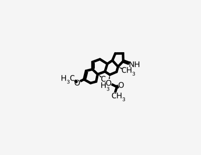 COC1=CC2=CCC3C([C@@H](OC(C)=O)C[C@]4(C)C(=N)CCC34)[C@@]2(C)CC1